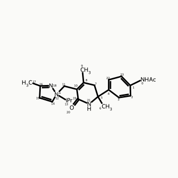 CC(=O)Nc1ccc(C2(C)CC(C)=C(C[N+]3(C(C)C)C=CC(C)=N3)C(=O)N2)cc1